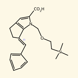 C[Si](C)(C)CCOCn1c(C(=O)O)cc2c1/C(=C/c1ccccc1)CC2